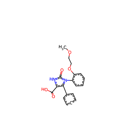 COCCOc1ccccc1-n1c(-c2ccccc2)c(C(=O)O)[nH]c1=O